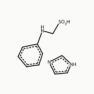 O=S(=O)(O)CNc1ccccc1.c1c[nH]cn1